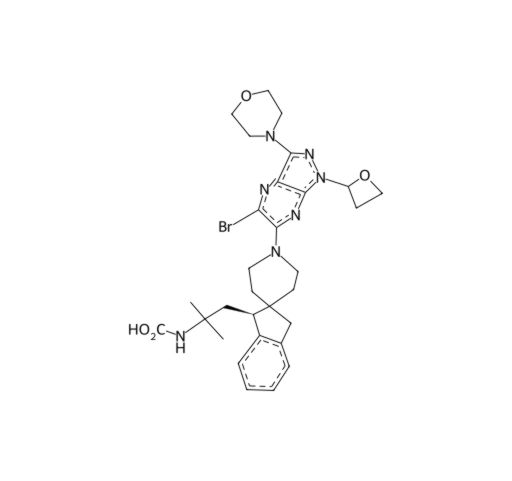 CC(C)(C[C@@H]1c2ccccc2CC12CCN(c1nc3c(nc1Br)c(N1CCOCC1)nn3C1CCO1)CC2)NC(=O)O